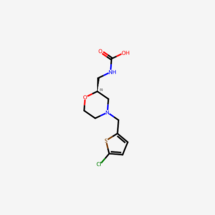 O=C(O)NC[C@H]1CN(Cc2ccc(Cl)s2)CCO1